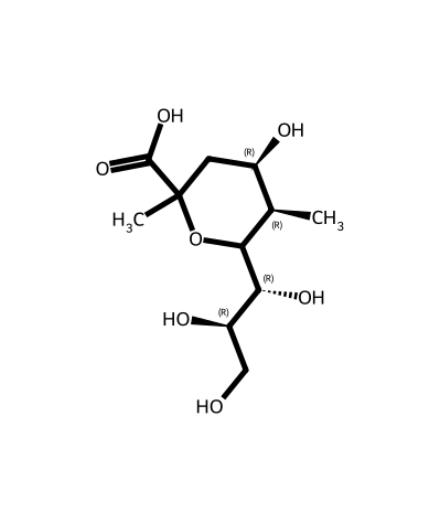 C[C@H]1C([C@H](O)[C@H](O)CO)OC(C)(C(=O)O)C[C@H]1O